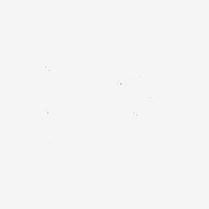 C1CCNCC1.C1CNCCN1.O=C1N=c2ccccc2=N1